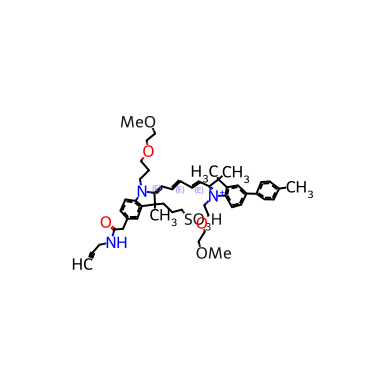 C#CCNC(=O)Cc1ccc2c(c1)C(C)(CCCS(=O)(=O)O)\C(=C/C=C/C=C/C1=[N+](CCOCCOC)c3ccc(-c4ccc(C)cc4)cc3C1(C)C)N2CCCOCCOC